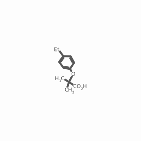 CCc1ccc(OC(C)(C)C(=O)O)cc1